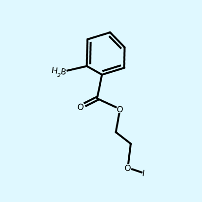 Bc1ccccc1C(=O)OCCOI